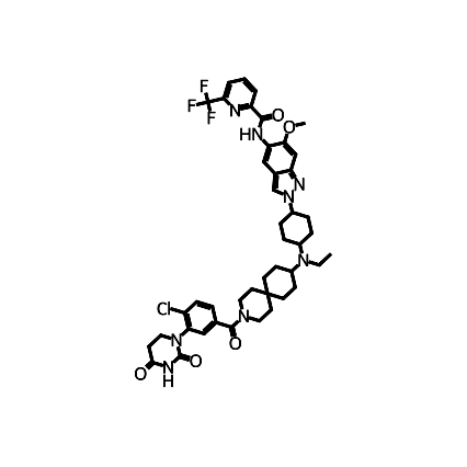 CCN(C1CCC(n2cc3cc(NC(=O)c4cccc(C(F)(F)F)n4)c(OC)cc3n2)CC1)C1CCC2(CC1)CCN(C(=O)c1ccc(Cl)c(N3CCC(=O)NC3=O)c1)CC2